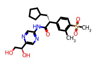 Cc1cc([C@@H](CC2CCCC2)C(=O)Nc2cnc([C@@H](O)CO)cn2)ccc1S(C)(=O)=O